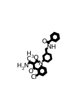 CC(N)=C1C(=O)c2c(Cl)cccc2N(C2CCCC(CNC(=O)c3ccccc3)C2)C1=O